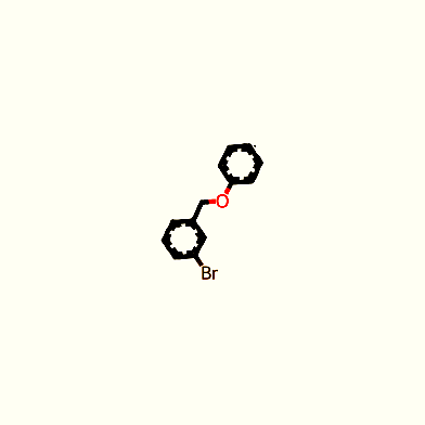 Brc1cccc(COc2cc[c]cc2)c1